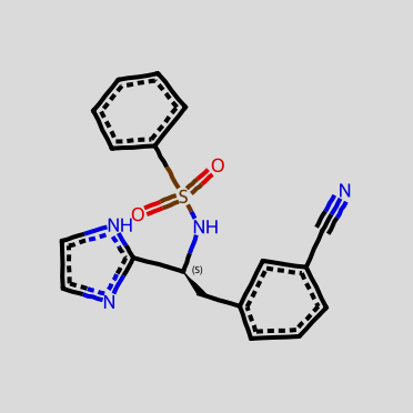 N#Cc1cccc(C[C@H](NS(=O)(=O)c2ccccc2)c2ncc[nH]2)c1